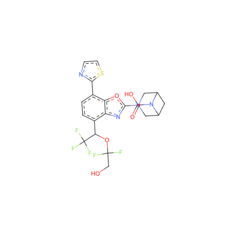 O=C(O)N1C2CC1CN(c1nc3c(C(OC(F)(F)CO)C(F)(F)F)ccc(-c4nccs4)c3o1)C2